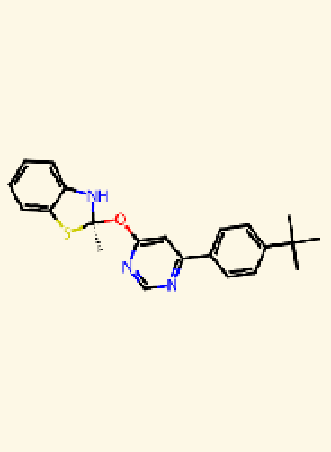 CC(C)(C)c1ccc(-c2cc(O[C@]3(C)Nc4ccccc4S3)ncn2)cc1